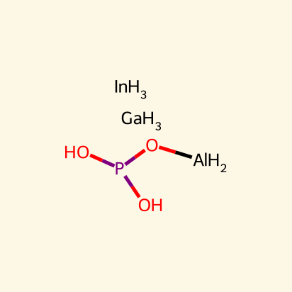 OP(O)[O][AlH2].[GaH3].[InH3]